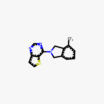 FC(F)(F)c1cccc2c1CN(c1ncnc3ccsc13)C2